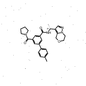 Cc1ccc(-c2cc(C(=O)N[C@H](C)c3cnn4c3COCC4)cc(C(=O)N3CCCC3)c2)cc1